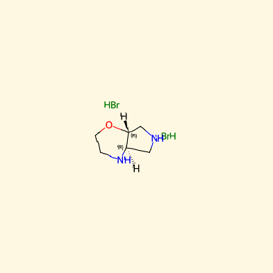 Br.Br.C1CO[C@@H]2CNC[C@H]2N1